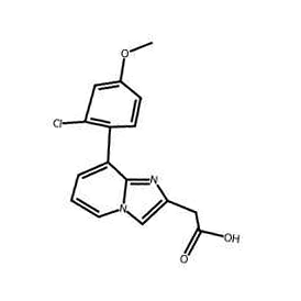 COc1ccc(-c2cccn3cc(CC(=O)O)nc23)c(Cl)c1